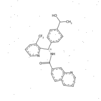 CC(O)c1ccc([C@H](NC(=O)c2ccc3cccnc3c2)c2ncccc2C(F)(F)F)cc1